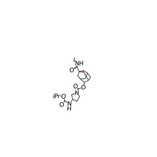 CC(C)OC(=O)NC1CCN(C(=O)OC2C3CC4CC2CC(C(=O)NI)(C4)C3)C1